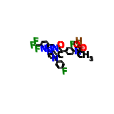 CC(C(=O)NCc1ccc(C(F)(F)F)nc1N1CCN(c2ccc(F)cc2)CC1)c1ccc(N(C)[SH](=O)=O)c(F)c1